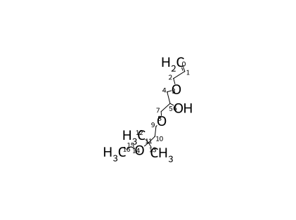 C=CCOCC(O)COCCC(C)(C)OCC